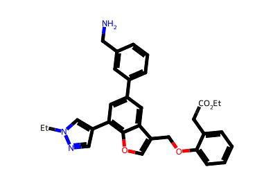 CCOC(=O)Cc1ccccc1OCc1coc2c(-c3cnn(CC)c3)cc(-c3cccc(CN)c3)cc12